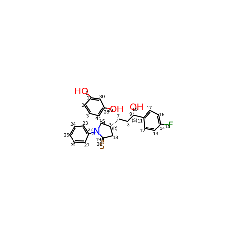 Oc1ccc([C@@H]2[C@H](CC[C@H](O)c3ccc(F)cc3)CC(=S)N2c2ccccc2)c(O)c1